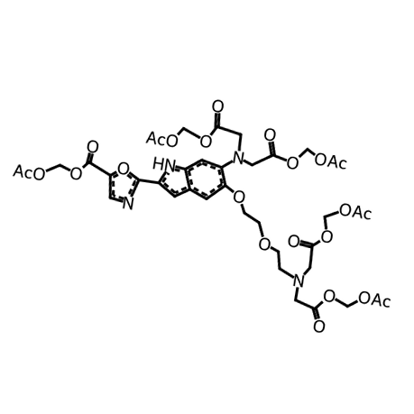 CC(=O)OCOC(=O)CN(CCOCCOc1cc2cc(-c3ncc(C(=O)OCOC(C)=O)o3)[nH]c2cc1N(CC(=O)OCOC(C)=O)CC(=O)OCOC(C)=O)CC(=O)OCOC(C)=O